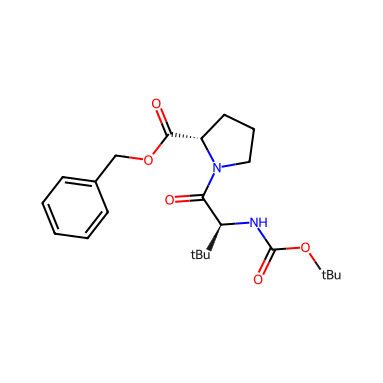 CC(C)(C)OC(=O)N[C@H](C(=O)N1CCC[C@H]1C(=O)OCc1ccccc1)C(C)(C)C